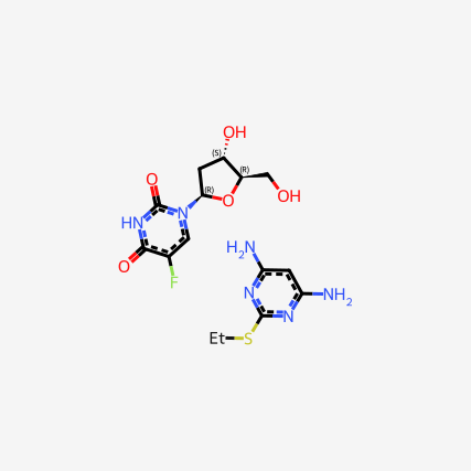 CCSc1nc(N)cc(N)n1.O=c1[nH]c(=O)n([C@H]2C[C@H](O)[C@@H](CO)O2)cc1F